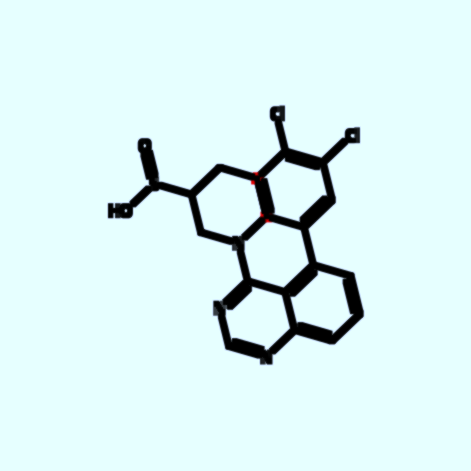 O=S(O)C1CCCN(c2ncnc3cccc(-c4ccc(Cl)c(Cl)c4)c23)C1